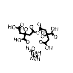 O.O=C(O)CC(O)(CC(=O)OC(=O)CC(O)(CC(=O)O)C(=O)O)C(=O)O.[NaH].[NaH].[NaH]